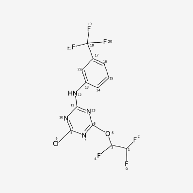 FC(F)C(F)Oc1nc(Cl)nc(Nc2cccc(C(F)(F)F)c2)n1